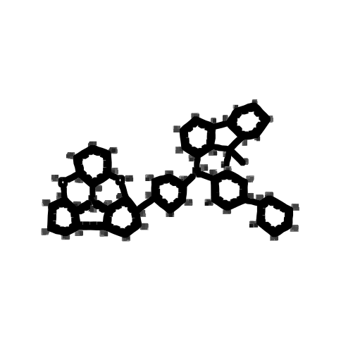 CC1(C)c2ccccc2-c2cccc(N(c3ccc(-c4ccccc4)cc3)c3ccc(-c4ccc5c6cccc7c6n6c5c4Oc4cccc(c4-6)O7)cc3)c21